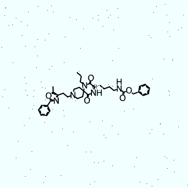 CCCN1C(=O)[C@H](CCCCNC(=O)OCc2ccccc2)NC(=O)C12CCN(CCc1nc(-c3ccccc3)oc1C)CC2